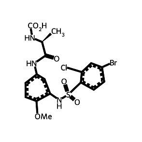 COc1ccc(NC(=O)[C@H](C)NC(=O)O)cc1NS(=O)(=O)c1ccc(Br)cc1Cl